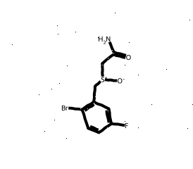 NC(=O)C[S+]([O-])Cc1cc(F)ccc1Br